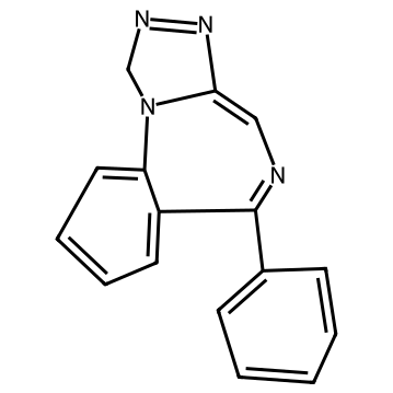 C1=C2N=NCN2c2ccccc2C(c2ccccc2)=N1